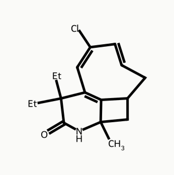 CCC1(CC)C(=O)NC2(C)CC3C/C=C/C(Cl)=C\C1=C32